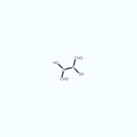 O=CN(S)N(S)C=O